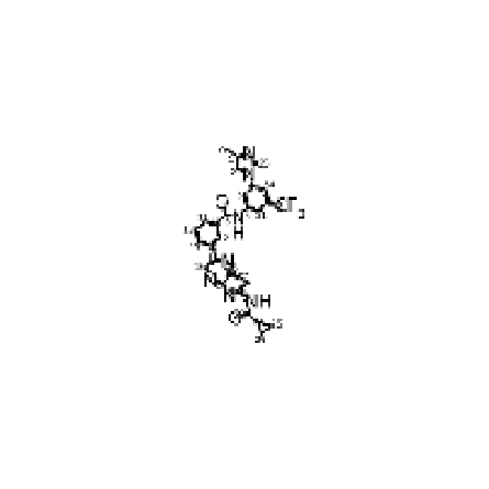 Cc1cn(-c2cc(NC(=O)c3cccc(-c4cnc5nc(NC(=O)C6CC6)sc5n4)c3)cc(C(F)(F)F)c2)cn1